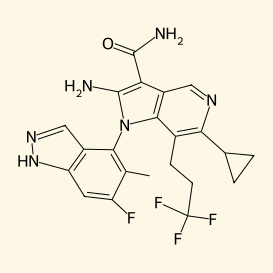 Cc1c(F)cc2[nH]ncc2c1-n1c(N)c(C(N)=O)c2cnc(C3CC3)c(CCC(F)(F)F)c21